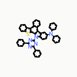 c1ccc(-c2nc(-c3ccccc3)nc(-n3c4ccc(N(c5ccccc5)c5ccccc5)cc4c4c5ccccc5c5c6ccccc6sc5c43)n2)cc1